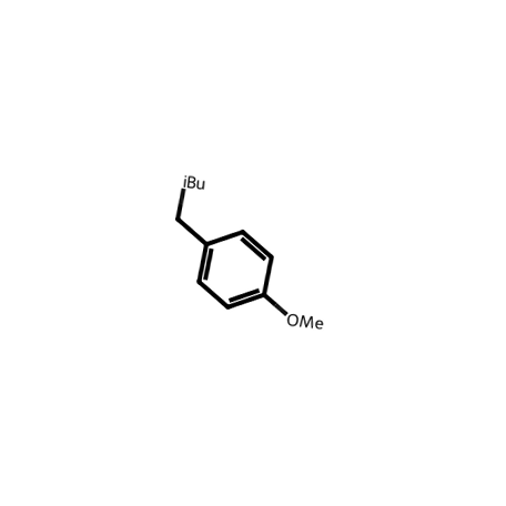 CCC(C)Cc1ccc(OC)cc1